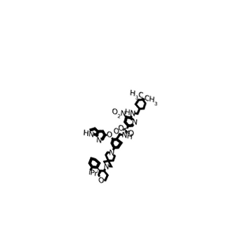 CC(C)c1ccccc1[C@@H]1COCCC1N1CC2(CCN(c3ccc(C(=O)NS(=O)(=O)c4cnc(NCC5CCC(C)(C)CC5)c([N+](=O)[O-])c4)c(Oc4cnc5[nH]ccc5c4)c3)CC2)C1